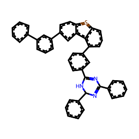 c1ccc(C2=NC(c3ccccc3)NC(c3cccc(-c4cccc5sc6ccc(-c7cccc(-c8ccccc8)c7)cc6c45)c3)=N2)cc1